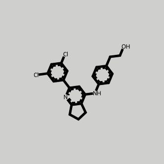 OCCc1ccc(Nc2cc(-c3cc(Cl)cc(Cl)c3)nc3c2CCC3)cc1